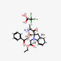 CCOC(=O)[C@H](CC(=O)c1ccccc1)N1[C@@H]2C=CCC[C@@H]2C[C@@]1(C(=O)O)C(=O)C(C)N.O=C(O)C(F)(F)F